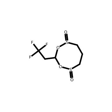 O=S1CCCS(=O)OC(CC(F)(F)F)O1